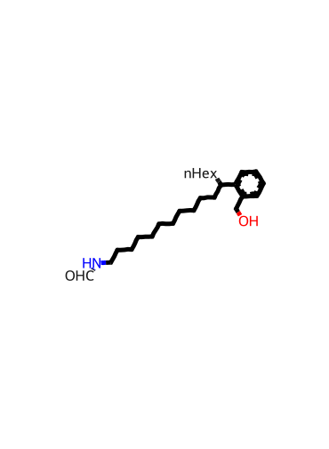 CCCCCCC(CCCCCCCCCCCNC=O)c1ccccc1CO